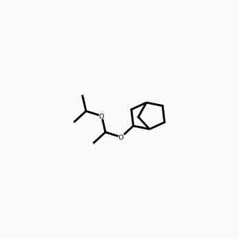 CC(C)OC(C)OC1CC2CCC1C2